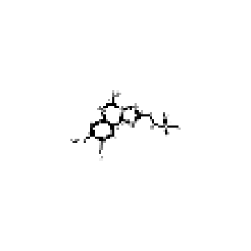 COc1cc2nc(N)n3nc(CCS(C)(=O)=O)nc3c2cc1F